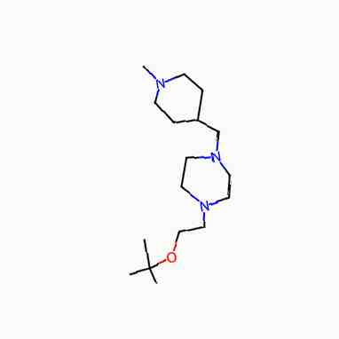 CN1CCC(CN2CCN(CCOC(C)(C)C)CC2)CC1